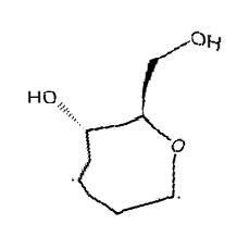 OC[C@H]1O[CH]C[CH][C@@H]1O